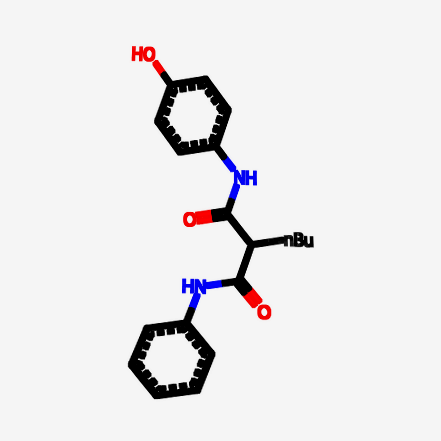 CCCCC(C(=O)Nc1ccccc1)C(=O)Nc1ccc(O)cc1